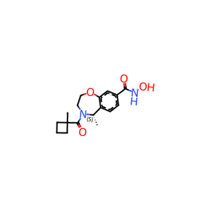 C[C@H]1c2ccc(C(=O)NO)cc2OCCN1C(=O)C1(C)CCC1